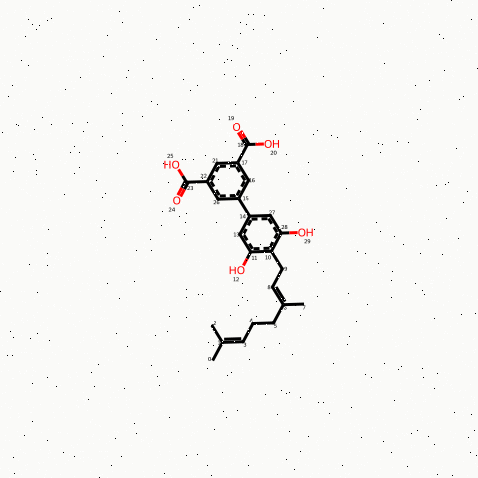 CC(C)=CCC/C(C)=C/Cc1c(O)cc(-c2cc(C(=O)O)cc(C(=O)O)c2)cc1O